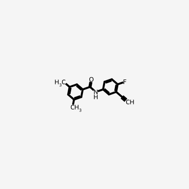 C#Cc1cc(NC(=O)c2cc(C)cc(C)c2)ccc1F